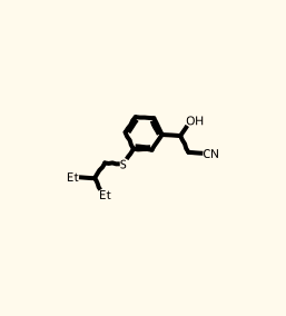 CCC(CC)CSc1cccc(C(O)CC#N)c1